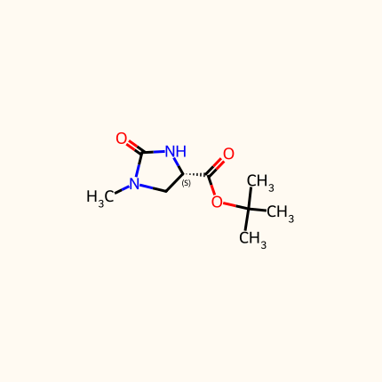 CN1C[C@@H](C(=O)OC(C)(C)C)NC1=O